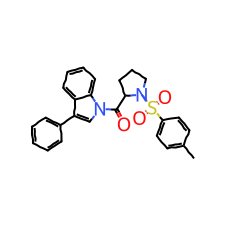 Cc1ccc(S(=O)(=O)N2CCCC2C(=O)n2cc(-c3ccccc3)c3ccccc32)cc1